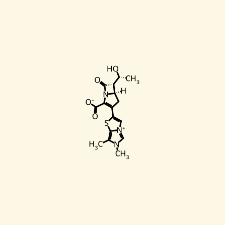 Cc1c2sc(C3=C(C(=O)[O-])N4C(=O)[C@H]([C@@H](C)O)[C@H]4C3)c[n+]2cn1C